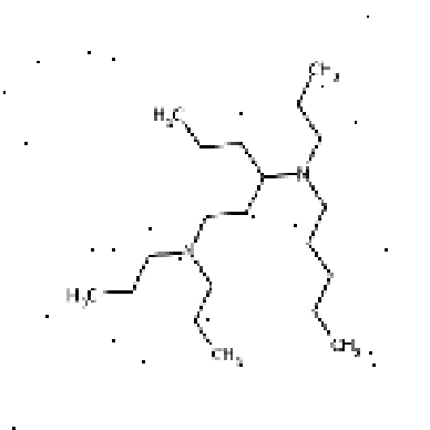 CCCCCN(CCC)C(CCC)CCN(CCC)CCC